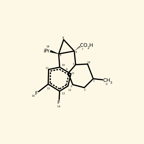 CC1CCCC([C@]2(C(=O)O)C[C@]2(c2ccc(F)c(F)c2)C(C)C)C1